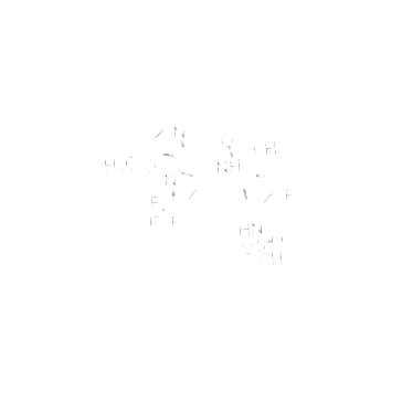 COc1ccncc1-c1nc(C(F)(F)F)ccc1CNC(=O)C(C)c1ccc(CNS(C)(=O)=O)c(F)c1